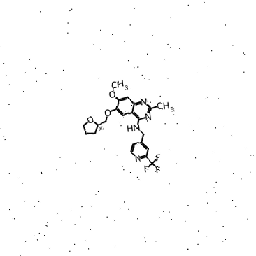 COc1cc2nc(C)nc(NCc3ccnc(C(F)(F)F)c3)c2cc1OC[C@H]1CCCO1